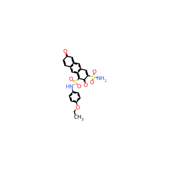 CCOc1ccc(NS(=O)(=O)C2=c3cc4c(cc3C=C(S(N)(=O)=O)C2=O)=CC(=O)C=C4)cc1